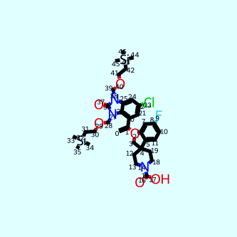 C=C(OCC1(c2ccc(F)cc2)CCN(C(=O)O)CC1)c1cc(Cl)cc2c1n(COCC[Si](C)(C)C)c(=O)n2COCC[Si](C)(C)C